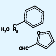 Cc1ccccc1.O.O=Cc1ccco1